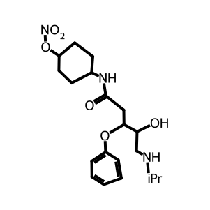 CC(C)NCC(O)C(CC(=O)NC1CCC(O[N+](=O)[O-])CC1)Oc1ccccc1